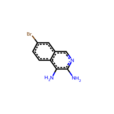 Nc1ncc2cc(Br)ccc2c1N